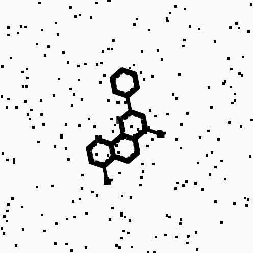 Brc1ccnc2c1ccc1c(Br)cc(-c3ccccc3)nc12